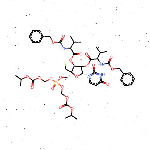 CC(C)OC(=O)OCOP(=O)(OCOC(=O)OC(C)C)OC[C@@]1(CF)O[C@@H](n2ccc(=O)[nH]c2=O)[C@](C)(OC(=O)C(NC(=O)OCc2ccccc2)C(C)C)[C@@H]1OC(=O)C(NC(=O)OCc1ccccc1)C(C)C